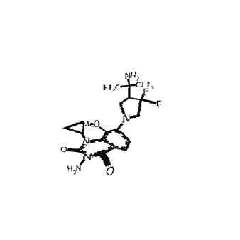 COc1c(N2CC(C(C)(C)N)C(F)(F)C2)ccc2c(=O)n(N)c(=O)n(C3CC3)c12